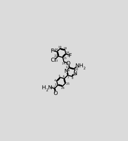 NC(=O)c1ccc(-c2cnc(N)c(OCc3c(F)ccc(F)c3Cl)n2)cc1